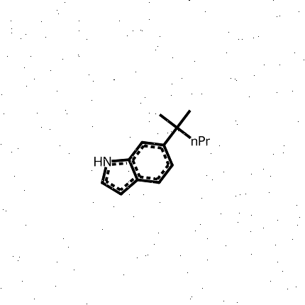 CCCC(C)(C)c1ccc2cc[nH]c2c1